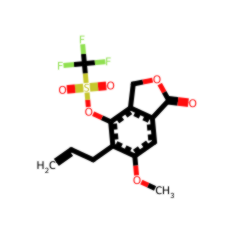 C=CCc1c(OC)cc2c(c1OS(=O)(=O)C(F)(F)F)COC2=O